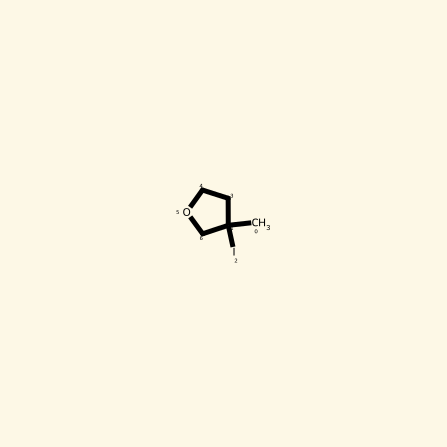 CC1(I)CCOC1